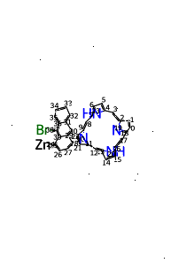 C1=Cc2cc3ccc(cc4nc(cc5ccc(cc1n2)[nH]5)C=C4)[nH]3.[Zn][c]1cccc2cc3ccccc3c(Br)c12